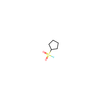 O=S(=O)(F)C1CCCC1